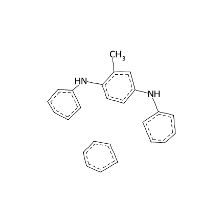 Cc1cc(Nc2ccccc2)ccc1Nc1ccccc1.c1ccccc1